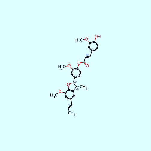 C/C=C/c1cc(OC)c2c(c1)[C@@H](C)[C@H](c1ccc(OC(=O)/C=C/c3ccc(O)c(OC)c3)c(OC)c1)O2